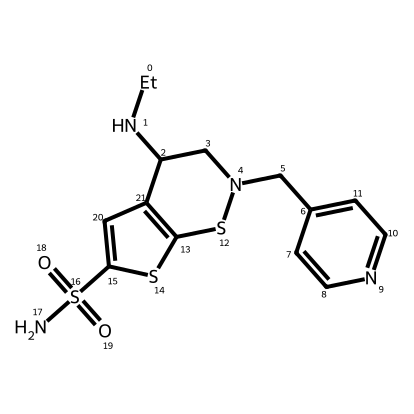 CCNC1CN(Cc2ccncc2)Sc2sc(S(N)(=O)=O)cc21